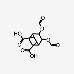 O=COC1C2CCC(C1OC=O)C(C(=O)O)C2C(=O)O